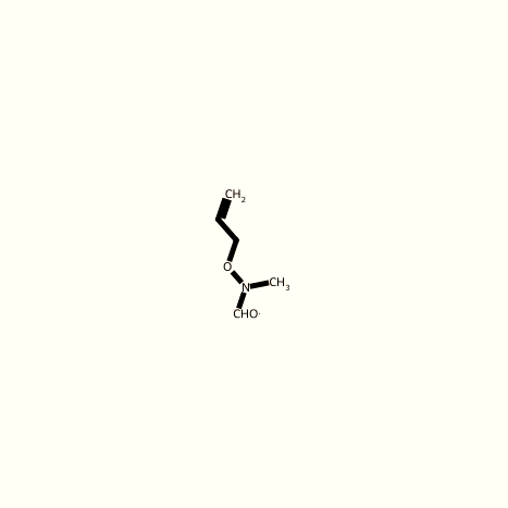 C=CCON(C)[C]=O